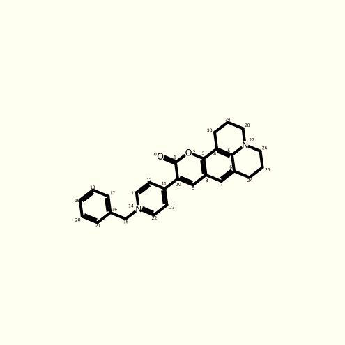 O=c1oc2c3c4c(cc2cc1-c1cc[n+](Cc2ccccc2)cc1)CCCN4CCC3